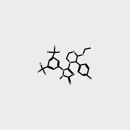 CCOC1OCCN(c2nc(=O)n(C)n2-c2cc(C(F)(F)F)cc(C(F)(F)F)c2)C1c1ccc(F)cc1